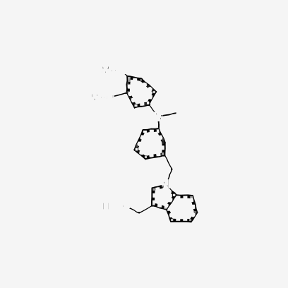 COc1ccc(N(C)c2cccc(Cn3cc(CC(=O)O)c4ccccc43)c2)cc1OC